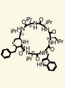 CC(C)C[C@H]1NC(=O)[C@H](Cc2c[nH]c3ccccc23)NC(=O)[C@@H](C(C)C)NC(=O)[C@H]2NC(CSC2Cc2ccccc2)[C@H](C(C)C)NC(=O)[C@@H](C(C)C)NC(=O)[C@H](C(C)C)NC1=O